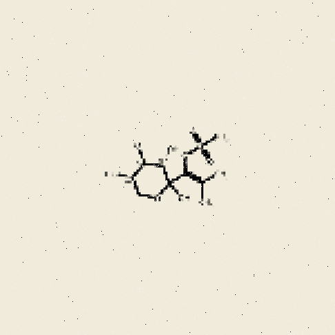 CC(C)=C(OS(N)(=O)=O)C1(O)OC[C@@H](O)[C@@H](O)[C@@H]1O